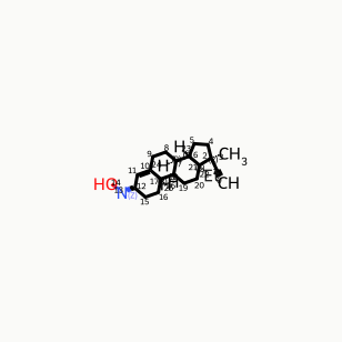 C#C[C@]1(C)CC[C@H]2[C@@H]3CCC4=C/C(=N\O)CC[C@@H]4[C@H]3CC[C@@]21CC